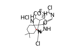 CC1(C)CCC2(CC1)NC(C(=O)O)C(c1ccnc(Cl)c1F)C21C(=O)Nc2cc(Cl)ncc21.Cl